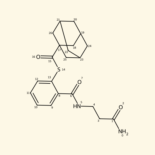 NC(=O)CCNC(=O)c1ccccc1SC(=O)C12CC3CC(CC(C3)C1)C2